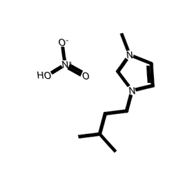 CC(C)CCN1C=CN(C)C1.O=[N+]([O-])O